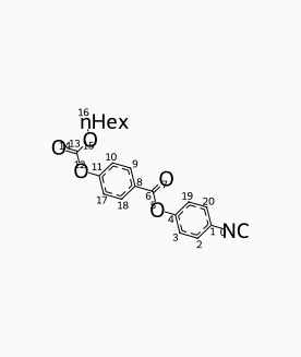 [C-]#[N+]c1ccc(OC(=O)c2ccc(OC(=O)OCCCCCC)cc2)cc1